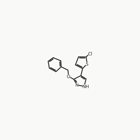 Clc1ccc(-c2c[nH]nc2OCc2ccccc2)s1